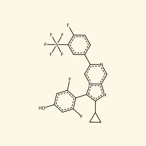 Oc1cc(F)c(-c2c(C3CC3)nc3cnc(-c4ccc(F)c(S(F)(F)(F)(F)F)c4)cn23)c(F)c1